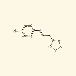 Clc1ccc(C=CC[C]2OCCO2)cn1